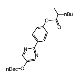 CCCCCCCCCCOc1cnc(-c2ccc(OC(=O)C(C)CCCC)cc2)nc1